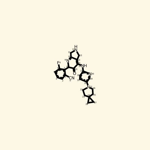 N#Cc1cccc(F)c1C1N=C2CNCC2=C(Nc2ccc(N3CCC4(CC3)CC4)cn2)C1=O